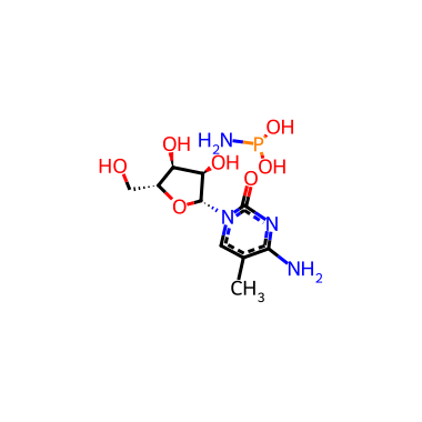 Cc1cn([C@@H]2O[C@H](CO)[C@@H](O)[C@H]2O)c(=O)nc1N.NP(O)O